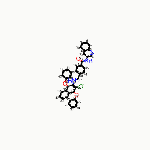 O=C(Nc1cnc2ccccc2c1)c1ccc(CNC2=C(Cl)C(Oc3ccccc3)c3ccccc3C2Oc2ccccc2)cc1